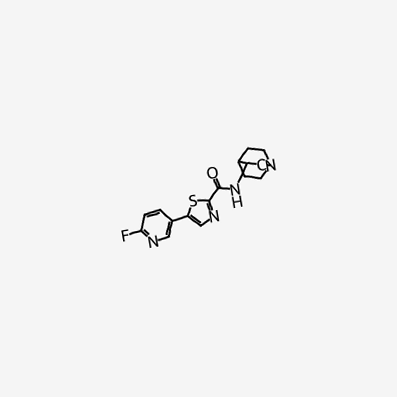 O=C(NC1CN2CCC1CC2)c1ncc(-c2ccc(F)nc2)s1